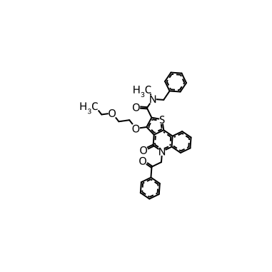 CCOCCOc1c(C(=O)N(C)Cc2ccccc2)sc2c1c(=O)n(CC(=O)c1ccccc1)c1ccccc21